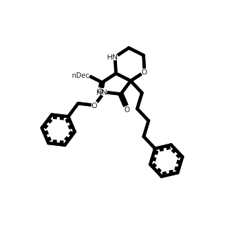 CCCCCCCCCCC(=O)C1NCCOC1(CCCCc1ccccc1)C(=O)NOCc1ccccc1